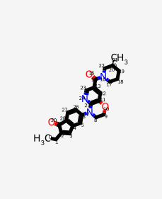 CCC1=Cc2cc(N3CCOc4cc(C(=O)N5CCC[C@@H](C)C5)cnc43)ccc2C1=O